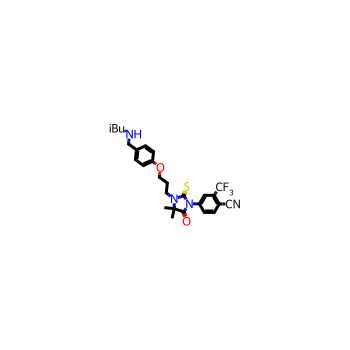 CCC(C)NCc1ccc(OCCCN2C(=S)N(c3ccc(C#N)c(C(F)(F)F)c3)C(=O)C2(C)C)cc1